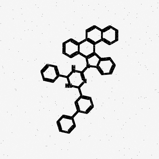 c1ccc(-c2cccc(C3N=C(n4c5ccccc5c5c6c7ccccc7ccc6c6ccccc6c54)NC(c4ccccc4)N3)c2)cc1